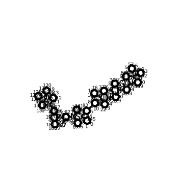 c1ccc([Si]2(c3ccc(-c4ccc([Si]5(c6ccccc6)c6ccccc6N(c6cccc7c6Sc6cccc8c6B7c6cccc(N7c9ccccc9[Si](c9ccccc9)(c9ccccc9)c9ccccc97)c6O8)c6ccccc65)cc4)cc3)c3ccccc3N(c3ccc4c(c3)Oc3cccc5c3B4c3ccc(N4c6ccccc6[Si](c6ccccc6)(c6ccccc6)c6ccccc64)cc3S5)c3ccccc32)cc1